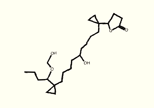 CCCC(OCO)C1(CCCCC(O)CCCCC2(C3CCC(=O)O3)CC2)CC1